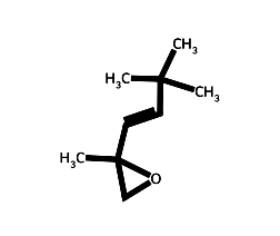 CC(C)(C)C=CC1(C)CO1